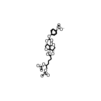 O=C(CCCC(CO[N+](=O)[O-])O[N+](=O)[O-])O[C@H]1CO[C@H]2[C@@H]1OC[C@@H]2OC(=O)Oc1ccc([N+](=O)[O-])cc1